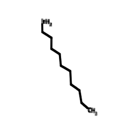 CCCCCCCCC[CH2][InH2]